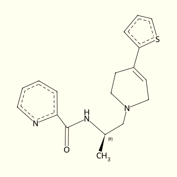 C[C@H](CN1CC=C(c2cccs2)CC1)NC(=O)c1ccccn1